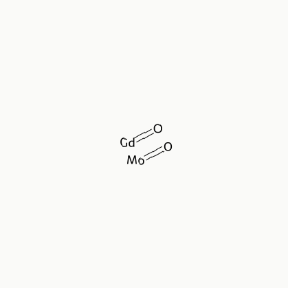 [O]=[Gd].[O]=[Mo]